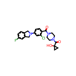 O=C(c1ccc(N2Cc3ccc(F)cc3C2)cc1Cl)N1CCN(C(=O)C2(O)CC2)CC1